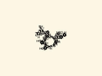 C=C(CN1CC(C)C(=O)NC1=O)N(CCN)CC(=O)N[C@@H](CC(C)C)C(=O)N1CCC[C@H]1C(=O)N[C@H]1CSSC[C@@H](C(=O)N[C@@H](Cc2ccc(-c3ccccc3)cc2)C(=O)N[C@@H](CC(=O)O)C(N)=O)N[C@@H](O)[C@H](C(C)O)NC(=O)CNC(=O)[C@H](Cc2ccc(O)cc2)NC(=O)[C@H](Cc2ccc(O)cc2)N[C@@H](O)[C@H](CC(=O)O)NC1=O